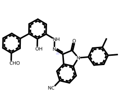 Cc1ccc(N2C(=O)/C(=N\Nc3cccc(-c4cccc(C=O)c4)c3O)c3cc(C#N)ccc32)cc1C